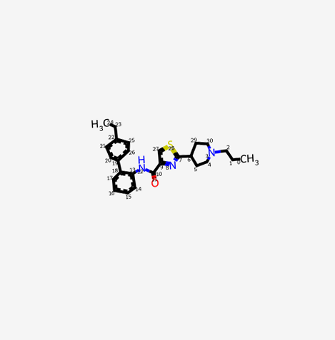 CCCN1CCC(c2nc(C(=O)Nc3ccccc3-c3ccc(CC)cc3)cs2)CC1